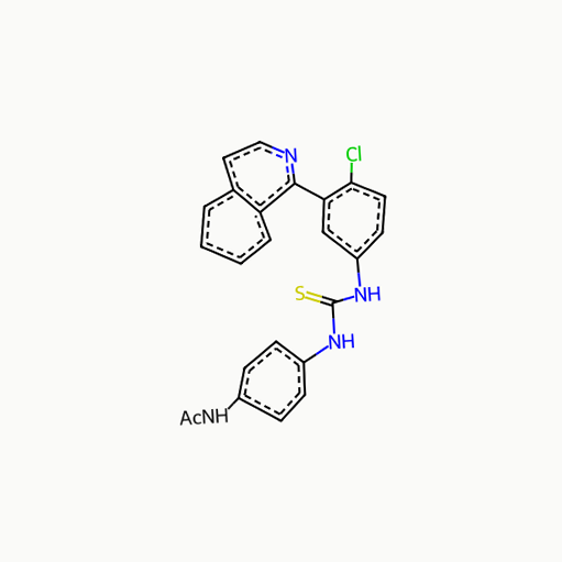 CC(=O)Nc1ccc(NC(=S)Nc2ccc(Cl)c(-c3nccc4ccccc34)c2)cc1